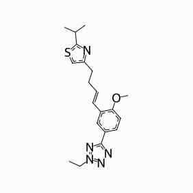 CCn1nnc(-c2ccc(OC)c(/C=C/CCc3csc(C(C)C)n3)c2)n1